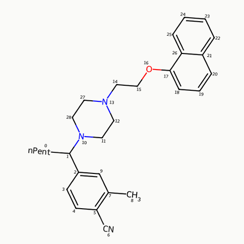 CCCCCC(c1ccc(C#N)c(C)c1)N1CCN(CCOc2cccc3ccccc23)CC1